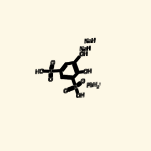 O=S(=O)(O)c1cc(O)c(O)c(S(=O)(=O)O)c1.[NaH].[NaH].[PbH2]